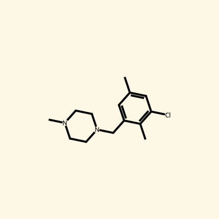 Cc1cc(Cl)c(C)c(CN2CCN(C)CC2)c1